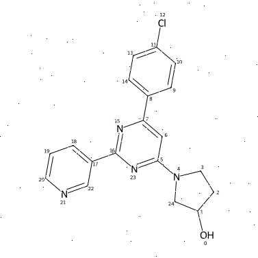 OC1CCN(c2cc(-c3ccc(Cl)cc3)nc(-c3cccnc3)n2)C1